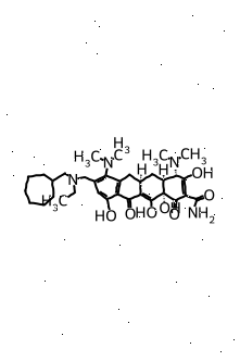 CCN(Cc1cc(O)c2c(c1N(C)C)C[C@H]1C[C@H]3[C@H](N(C)C)C(O)=C(C(N)=O)C(=O)[C@@]3(O)C(O)=C1C2=O)CC1CCCCCC1